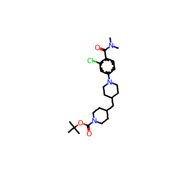 CN(C)C(=O)c1ccc(N2CCC(CC3CCN(C(=O)OC(C)(C)C)CC3)CC2)cc1Cl